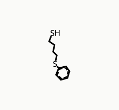 SCCCCSc1ccccc1